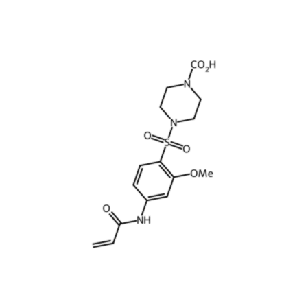 C=CC(=O)Nc1ccc(S(=O)(=O)N2CCN(C(=O)O)CC2)c(OC)c1